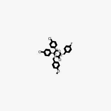 COc1ccc(CN2C(=O)[C@@H](Cc3ccc(F)cc3)O[C@H](c3ccc(Cl)cc3)[C@@H]2c2ccc(Cl)cc2)cc1